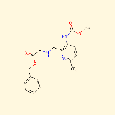 CC(C)(C)OC(=O)Nc1ccc(C(F)(F)F)nc1CNCC(=O)OCc1ccccc1